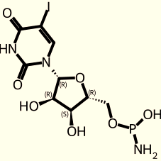 NP(O)OC[C@H]1O[C@@H](n2cc(I)c(=O)[nH]c2=O)[C@H](O)[C@@H]1O